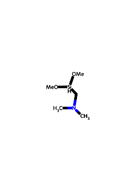 CO[SiH](CN(C)C)OC